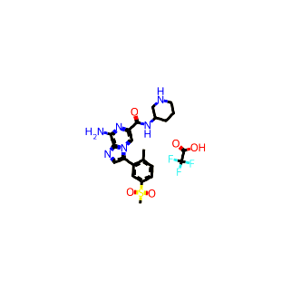 Cc1ccc(S(C)(=O)=O)cc1-c1cnc2c(N)nc(C(=O)NC3CCCNC3)cn12.O=C(O)C(F)(F)F